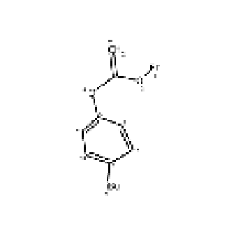 C=C(OCC)Oc1ccc(C(C)CC)cc1